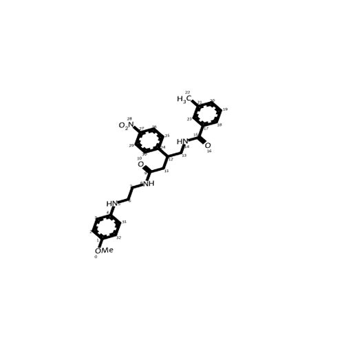 COc1ccc(NCCNC(=O)CC(CNC(=O)c2cccc(C)c2)c2ccc([N+](=O)[O-])cc2)cc1